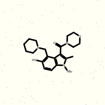 CCCCn1c(C)c(C(=O)N2CCOCC2)c2c(CN3CCCCC3)c(O)ccc21